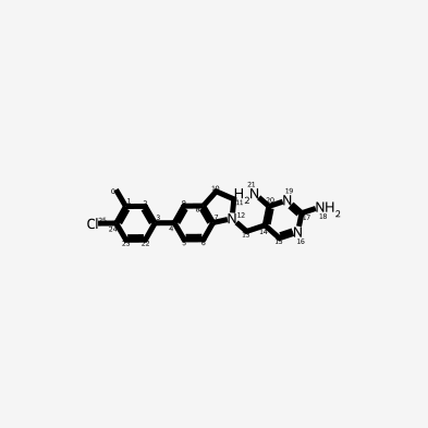 Cc1cc(-c2ccc3c(c2)CCN3Cc2cnc(N)nc2N)ccc1Cl